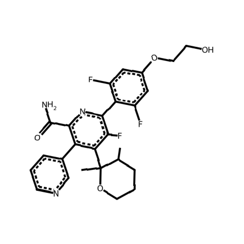 CC1CCCOC1(C)c1c(F)c(-c2c(F)cc(OCCO)cc2F)nc(C(N)=O)c1-c1cccnc1